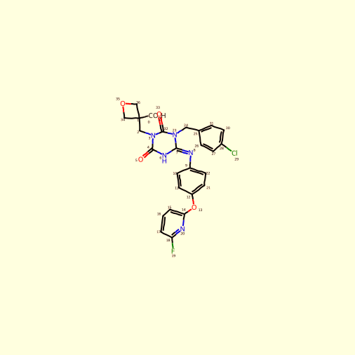 O=C(O)C1(Cn2c(=O)[nH]/c(=N\c3ccc(Oc4cccc(F)n4)cc3)n(Cc3ccc(Cl)cc3)c2=O)COC1